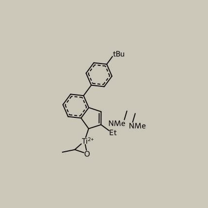 CCC1=Cc2c(-c3ccc(C(C)(C)C)cc3)cccc2[CH]1[Ti+2]1[O][CH]1C.C[N-]C.C[N-]C